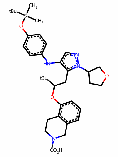 CC(C)(C)C(Cc1c(Nc2ccc(O[Si](C)(C)C(C)(C)C)cc2)cnn1C1CCOC1)Oc1cccc2c1CCN(C(=O)O)C2